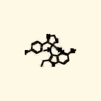 CCc1sc2ccc(Br)nc2c1N(C)C1(C#N)SCN=C1c1ccc(F)cc1